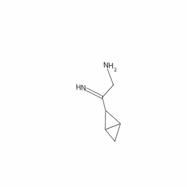 N=C(CN)C1C2CC21